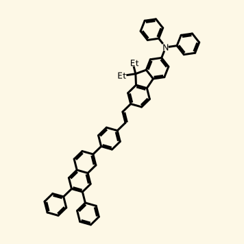 CCC1(CC)c2cc(/C=C/c3ccc(-c4ccc5cc(-c6ccccc6)c(-c6ccccc6)cc5c4)cc3)ccc2-c2ccc(N(c3ccccc3)c3ccccc3)cc21